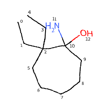 CCC1(CC)CCCCCC1(N)O